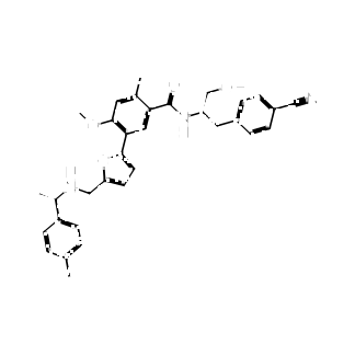 COc1cc(C)c(C(=O)N[C@@H](CO)Cc2ccc(C#N)cc2)cc1-c1ccc(CN[C@H](C)c2ccc(C)cc2)o1